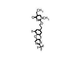 CCc1cn(C)c(OCCc2cc(F)c(Oc3cnc(C(F)(F)F)nc3)c(F)c2)nc1=O